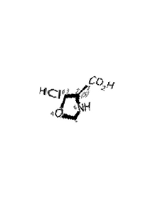 Cl.O=C(O)[C@@H]1COCN1